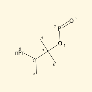 CCCC(C)C(C)(C)OP=O